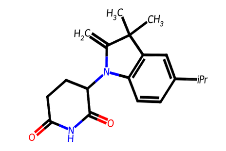 C=C1N(C2CCC(=O)NC2=O)c2ccc(C(C)C)cc2C1(C)C